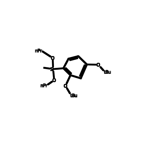 CCCO[Si](C)(OCCC)c1ccc(OC(C)(C)C)cc1OC(C)(C)C